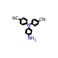 N#Cc1ccc(N(c2ccc(N)cc2)c2ccc(C#N)cc2)cc1